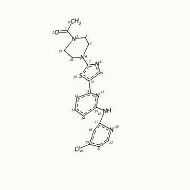 CC(=O)N1CCN(c2ncc(-c3cccc(Nc4cc(Cl)ccn4)n3)s2)CC1